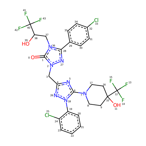 O=c1n(Cc2nc(N3CCC(O)(C(F)(F)F)CC3)n(-c3ccccc3Cl)n2)nc(-c2ccc(Cl)cc2)n1CC(O)C(F)(F)F